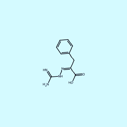 N=C(N)NN=C(Cc1ccccc1)C(=O)O